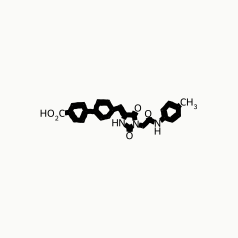 Cc1ccc(NC(=O)CN2C(=O)N/C(=C\C3C=CC(c4ccc(C(=O)O)cc4)=CC3)C2=O)cc1